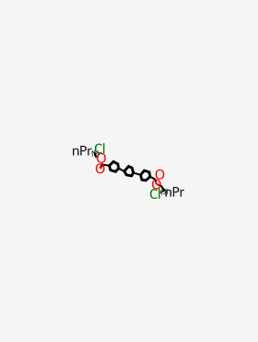 CCC[C@H](Cl)COC(=O)c1ccc(-c2ccc(-c3ccc(C(=O)OC[C@@H](Cl)CCC)cc3)cc2)cc1